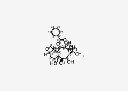 CC1=C2[C@@H](O)C(=O)[C@@]3(C)[C@@H]([C@@H]4CO[C@@H]4C[C@@H]3O)[C@H](OC(=O)c3ccccc3)[C@](O)(CC1)[C@@H]2C